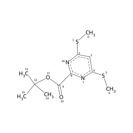 CSc1cc(SC)nc(C(=O)OC(C)(C)C)n1